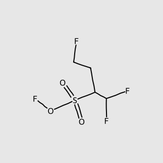 O=S(=O)(OF)C(CCF)C(F)F